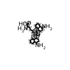 Nc1ccc(S(=O)(=O)N(CCCC[C@H](N)C(=O)O)S(=O)(=O)c2ccc(N)c3ccccc23)c2ccccc12